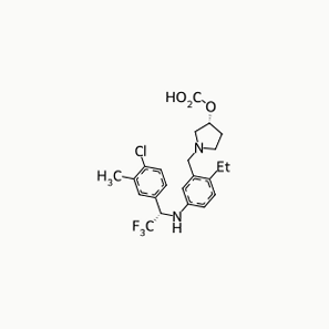 CCc1ccc(N[C@@H](c2ccc(Cl)c(C)c2)C(F)(F)F)cc1CN1CC[C@@H](OC(=O)O)C1